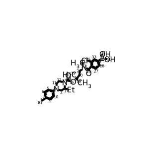 CCC1CN(c2ccc(I)cc2)CCN1C(=O)OC(C)(C)CCN(C)C(=O)c1ccc(B(O)O)cc1Cl